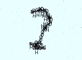 CCN(CC)CCCC[C@H](NC(=O)[C@H](CC(C)C)NC(=O)[C@H](C)NC(=O)[C@H](Cc1ccccc1)NC(=O)c1ccc(C(C)(C)C)cc1)C(=O)N[C@@H](CO)C(=O)NCCOCCOCCOCCOCCOCCNC(=O)c1nc(NC(=O)CCNC(=O)c2cc(NC(=O)c3nc(NC(=O)CCNC(=O)c4cc(NC(=O)c5nc(NC(=O)CCNC(=O)c6cccn6C)cn5C)cn4C)cn3C)cn2C)cn1C